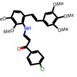 COc1cc(C=Cc2ccc(OC)c(OC)c2NC=CC(=O)c2ccc(Cl)cc2)cc(OC)c1OC